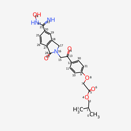 CC(C)COC(=O)COc1ccc(C(=O)CN2Cc3cc(C(=N)NO)ccc3C2=O)cc1